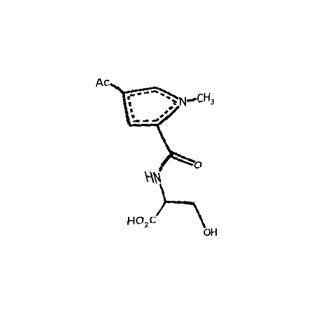 CC(=O)c1cc(C(=O)NC(CO)C(=O)O)n(C)c1